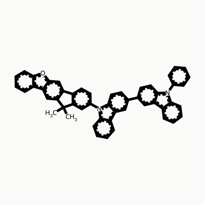 CC1(C)c2cc(-n3c4ccccc4c4cc(-c5ccc6c(c5)c5ccccc5n6-c5ccccc5)ccc43)ccc2-c2cc3oc4ccccc4c3cc21